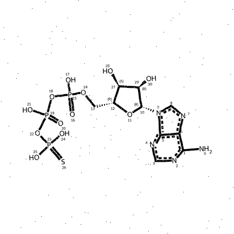 Nc1ncnc2c1ncn2[C@@H]1O[C@H](COP(=O)(O)OP(=O)(O)OP(O)(O)=S)[C@@H](O)[C@H]1O